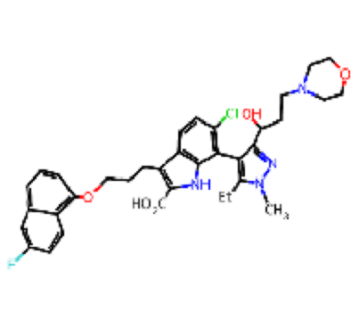 CCc1c(-c2c(Cl)ccc3c(CCCOc4cccc5cc(F)ccc45)c(C(=O)O)[nH]c23)c(C(O)CCN2CCOCC2)nn1C